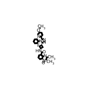 CCOc1ccc(-c2nnc([C@H]3C[C@H](NC(=O)c4cccc5c4nc(C)c(C)[n+]5[O-])C3)n2-c2ccccc2F)nc1